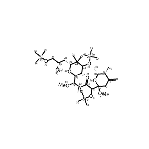 C=C1C[C@](OC)(C(O[Si](C)(C)C)C(=O)N[C@@H](OC)[C@@H]2CC(O[Si](C)(C)C)C(C)(C)[C@@H](C[C@H](O)CO[Si](C)(C)C)O2)O[C@H](C)[C@@H]1C